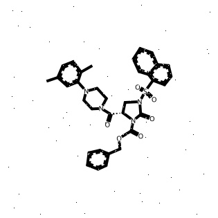 Cc1ccc(C)c(N2CCN(C(=O)[C@@H]3CN(S(=O)(=O)c4cccc5ccccc45)C(=O)N3C(=O)OCc3ccccc3)CC2)c1